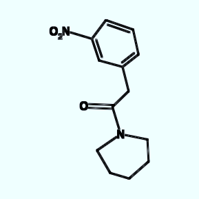 O=C(Cc1cccc([N+](=O)[O-])c1)N1CCCCC1